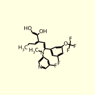 CC/C=C(/C=C(/c1cc(F)cc(OC(F)(F)F)c1)N(C)c1cncc(F)c1)C(\O)=C\O